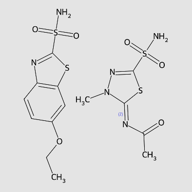 CC(=O)/N=c1\sc(S(N)(=O)=O)nn1C.CCOc1ccc2nc(S(N)(=O)=O)sc2c1